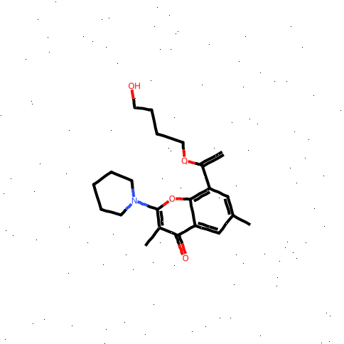 C=C(OCCCCO)c1cc(C)cc2c(=O)c(C)c(N3CCCCC3)oc12